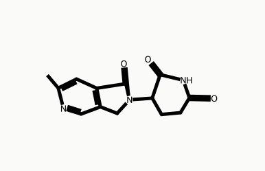 Cc1cc2c(cn1)CN(C1CCC(=O)NC1=O)C2=O